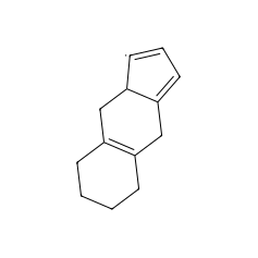 [C]1=CC=C2CC3=C(CCCC3)CC12